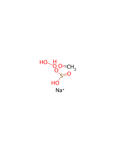 C=O.O=S([O-])O.OO.[Na+]